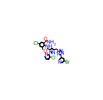 Cc1cc(Cl)cc(C(N)=O)c1NC(=O)c1cc(Cn2nnc(-c3cncc(Br)c3)n2)nn1-c1ncccc1Cl